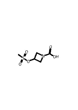 CS(=O)(=O)OC1CN(C(=O)O)C1